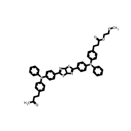 COCCOC(=O)CCc1ccc(N(c2ccccc2)c2ccc(C3=NC4SC(c5ccc(N(c6ccccc6)c6ccc(CCC(C)=O)cc6)cc5)=NC4S3)cc2)cc1